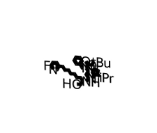 CC(C)c1cnn2c(N(Cc3ccccc3)C(=O)OC(C)(C)C)cc(NC(CO)CCCCCCCc3ccc(F)nc3)nc12